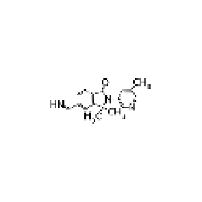 Cc1cncc(N2C(=O)c3ccc(C=N)cc3C2(C)C)c1